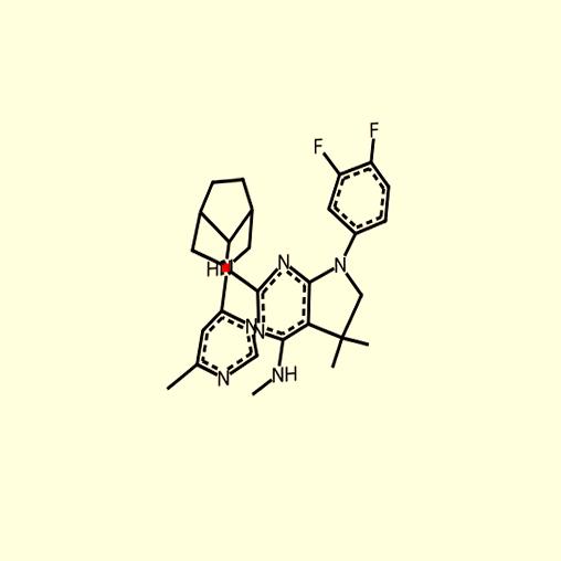 CNc1nc(NC2C3CCC2CN(c2cc(C)ncn2)C3)nc2c1C(C)(C)CN2c1ccc(F)c(F)c1